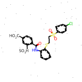 O=C(O)c1ccc(C(=O)Nc2ccccc2SCCS(=O)(=O)c2ccc(Cl)cc2)c(S(=O)(=O)O)c1